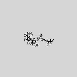 CCC(C)(C)C(=O)SCCO[PH](=O)OC[C@H]1O[C@@H](n2cc(F)c(C(N)=O)n2)[C@@](C)(O)C1O